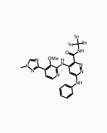 [2H]C([2H])([2H])NC(=O)c1nnc(Nc2ccccc2)cc1Nc1nccc(-c2ncn(C)n2)c1OC